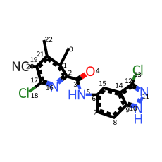 Cc1c(C(=O)Nc2ccc3[nH]nc(Cl)c3c2)nc(Cl)c(C#N)c1C